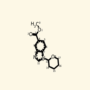 COC(=O)c1ccc2c(c1)ncn2C1CCCCO1